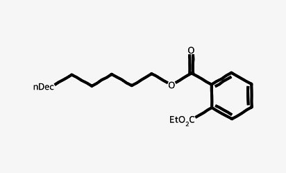 CCCCCCCCCCCCCCCOC(=O)c1ccccc1C(=O)OCC